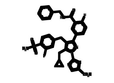 NS(=O)(=O)c1ccc(Cc2c(-c3ccc(F)c(C(=O)NCc4ccccc4)c3)nn(-c3nc(C(=O)O)cs3)c2CC2CC2)cc1F